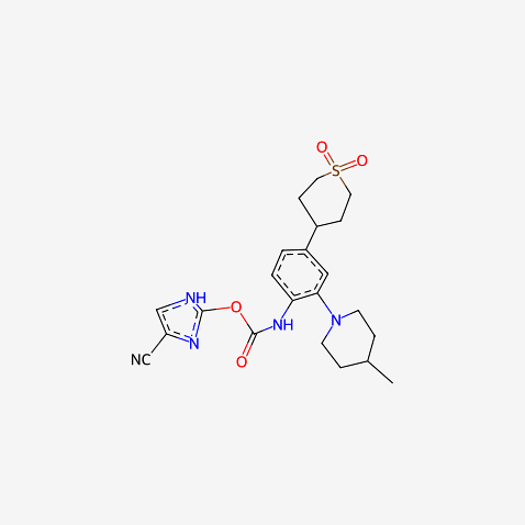 CC1CCN(c2cc(C3CCS(=O)(=O)CC3)ccc2NC(=O)Oc2nc(C#N)c[nH]2)CC1